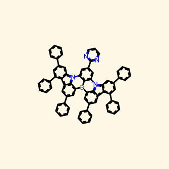 c1ccc(-c2cc3c4c(c2)c2c(-c5ccccc5)cc(-c5ccccc5)cc2n4-c2cc(-c4ncccn4)cc4c2B3c2cc(-c3ccccc3)cc3c5c(-c6ccccc6)cc(-c6ccccc6)cc5n-4c23)cc1